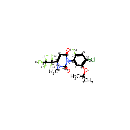 CC(C)Oc1cc(-n2c(=O)cc(C(F)(F)C(F)(F)F)n(C)c2=O)c(F)cc1Cl